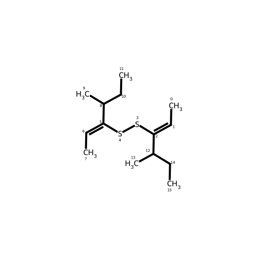 C/C=C(\SS/C(=C\C)C(C)CC)C(C)CC